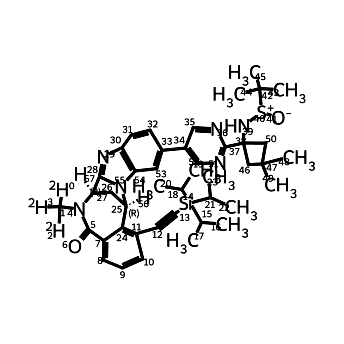 [2H]C([2H])([2H])N1C(=O)c2cccc(C#C[Si](C(C)C)(C(C)C)C(C)C)c2[C@H]2C[C@@H]1c1nc3ccc(-c4cnc(C5(N[S+]([O-])C(C)(C)C)CC(C)(C)C5)nc4)cc3n12